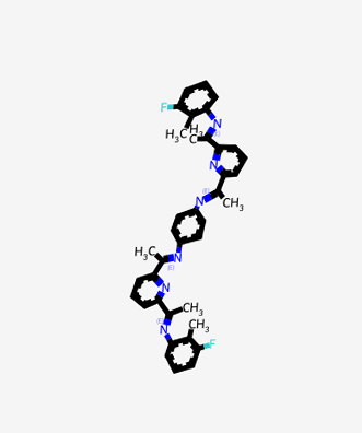 C/C(=N\c1ccc(/N=C(\C)c2cccc(/C(C)=N/c3cccc(F)c3C)n2)cc1)c1cccc(/C(C)=N/c2cccc(F)c2C)n1